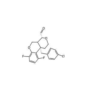 O=C[C@@H]1OCC[C@@]2(Cc3ccc(Cl)cc3)c3c(F)ccc(F)c3OCC12